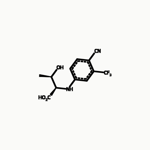 C[C@@H](O)[C@@H](Nc1ccc(C#N)c(C(F)(F)F)c1)C(=O)O